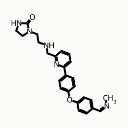 C/N=C\c1ccc(Oc2ccc(-c3cccc(CNCCN4CCNC4=O)n3)cc2)cc1